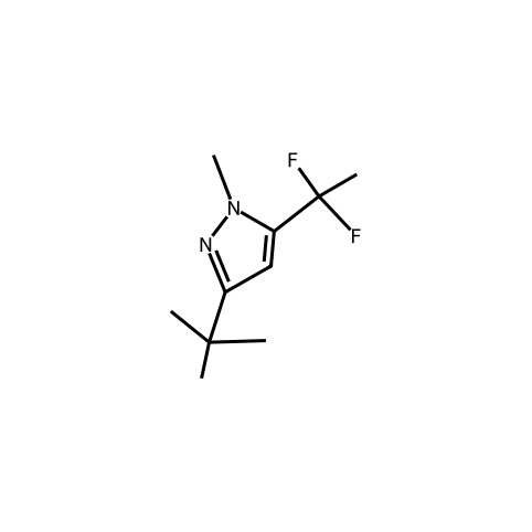 Cn1nc(C(C)(C)C)cc1C(C)(F)F